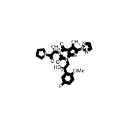 COc1ccc(F)cc1[C@@H](O)Cn1c(=O)n([C@@H](C)C(=O)N2CCCC2)c(=O)c2c(C)c(-n3nccn3)sc21